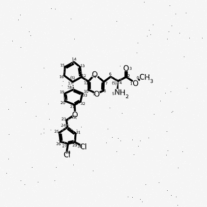 COC(=O)[C@@H](N)CC1=COC=C(C2=CC=CC[C@H]2c2ccc(OCc3ccc(Cl)c(Cl)c3)cc2)O1